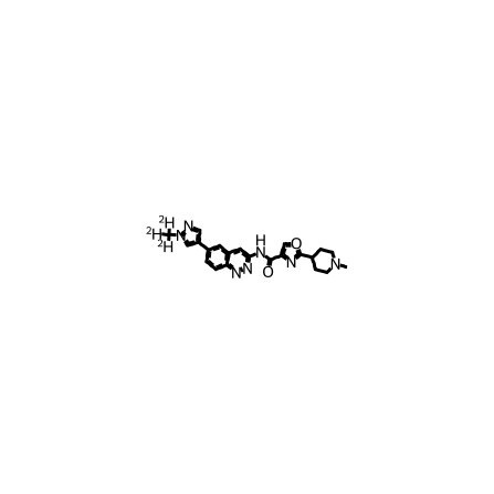 [2H]C([2H])([2H])n1cc(-c2ccc3nnc(NC(=O)c4coc(C5CCN(C)CC5)n4)cc3c2)cn1